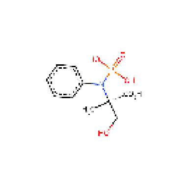 C[C@@](CO)(C(=O)O)N(c1ccccc1)P(=O)(O)O